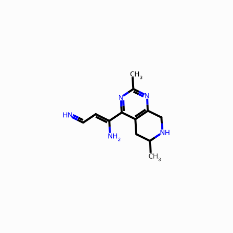 Cc1nc2c(c(/C(N)=C/C=N)n1)CC(C)NC2